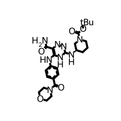 CC(C)(C)OC(=O)N1CCC[C@@H](NC2N=NC(C(N)=O)=C(Nc3ccc(C(=O)N4CCOCC4)cc3)N2)C1